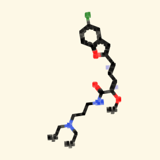 CCN(CC)CCCNC(=O)/C(=C\C=C\c1cc2cc(Cl)ccc2o1)OC